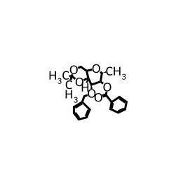 C[C@H]1OC2COC(C)(C)O[C@H]2[C@H](OCc2ccccc2)C1OC(=O)c1ccccc1